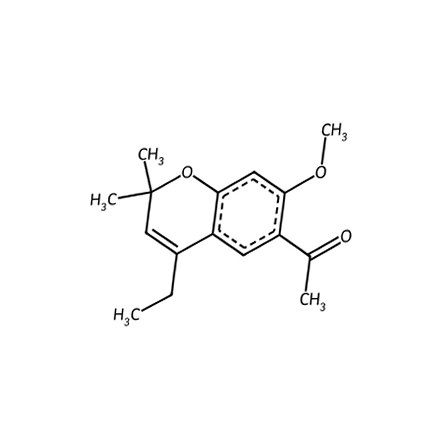 CCC1=CC(C)(C)Oc2cc(OC)c(C(C)=O)cc21